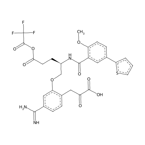 COc1ccc(-c2cccs2)cc1C(=O)N[C@H](CCC(=O)OC(=O)C(F)(F)F)COc1cc(C(=N)N)ccc1CC(=O)C(=O)O